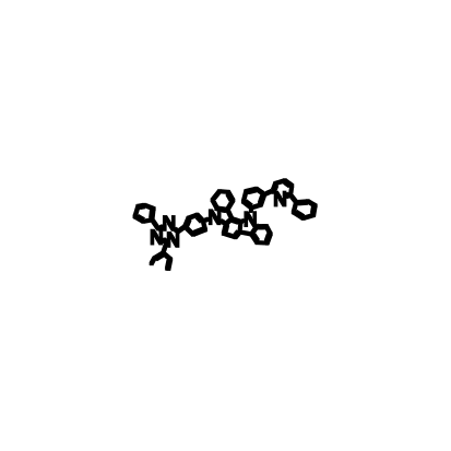 C=C/C(=C\C)c1nc(-c2ccccc2)nc(-c2ccc(-n3c4c(c5c3ccc3c6ccccc6n(-c6cccc(-c7cccc(-c8ccccc8)n7)c6)c35)C=CCC4)cc2)n1